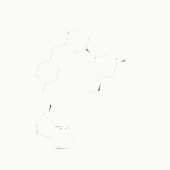 OC[C@H]1O[C@@H](c2ccc(Cl)c(Cc3ccc(OC[C@@H]4OCc5ccccc54)cc3)c2)C[C@@H](O)[C@@H]1O